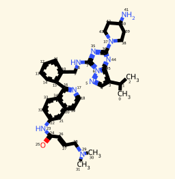 CC(C)c1cnn2c(NCc3ccccc3-c3nccc4cc(NC(=O)/C=C/CN(C)C)ccc34)nc(N3CCC(N)CC3)nc12